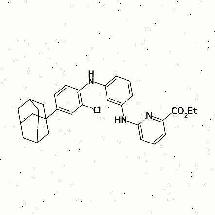 CCOC(=O)c1cccc(Nc2cccc(Nc3ccc(C45CC6CC(CC(C6)C4)C5)cc3Cl)c2)n1